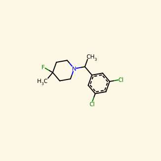 CC(c1cc(Cl)cc(Cl)c1)N1CCC(C)(F)CC1